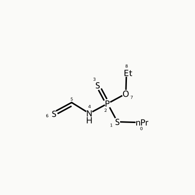 CCCSP(=S)(NC=S)OCC